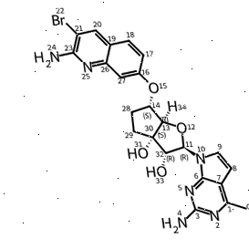 Cc1nc(N)nc2c1ccn2[C@@H]1O[C@@H]2[C@@H](Oc3ccc4cc(Br)c(N)nc4c3)CC[C@]2(O)[C@H]1O